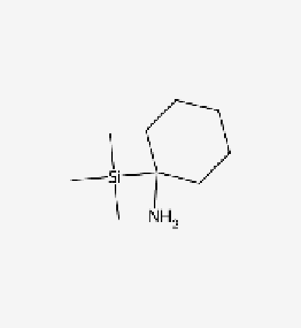 C[Si](C)(C)C1(N)CCCCC1